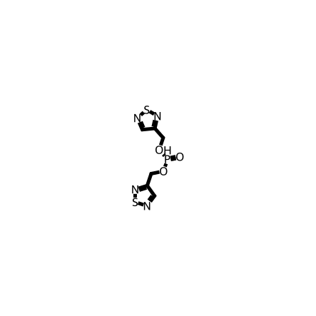 O=[PH](OCc1cnsn1)OCc1cnsn1